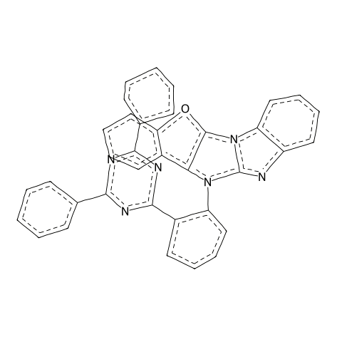 c1ccc(-c2nc(-c3ccccc3)nc(-c3ccccc3-n3c4c5ccccc5oc4n4c5ccccc5nc34)n2)cc1